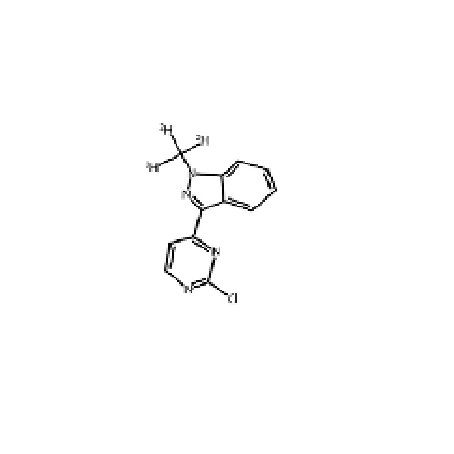 [2H]C([2H])([2H])n1nc(-c2ccnc(Cl)n2)c2ccccc21